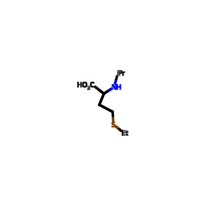 CCSCCC(NC(C)C)C(=O)O